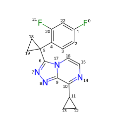 Fc1ccc(C2(c3nnc4c(C5CC5)nccn34)CC2)c(F)c1